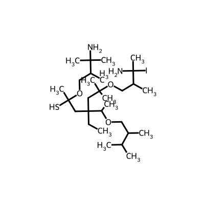 CCC(CC(C)(C)OCC(C)C(C)(N)I)(CC(C)(S)OCC(C)C(C)(C)N)C(C)OCC(C)C(C)C